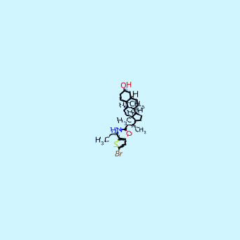 CC[C@@H](NC(=O)C[C@@H](C)C1CC[C@H]2[C@@H]3CC[C@@H]4C[C@H](O)CC[C@]4(C)[C@H]3CC[C@]12C)c1ccc(Br)s1